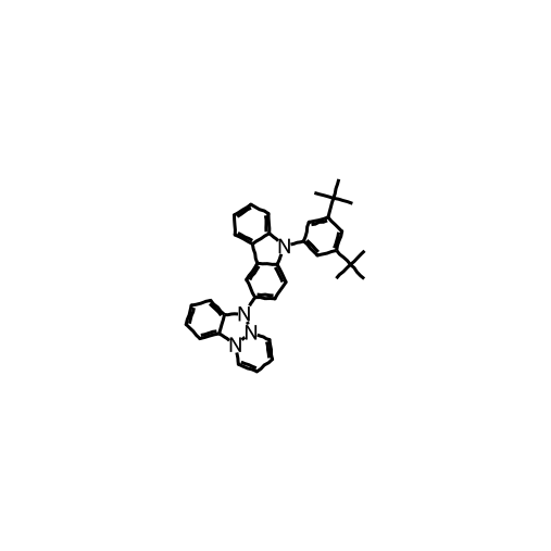 CC(C)(C)c1cc(-n2c3ccccc3c3cc(N4c5ccccc5N5C=CC=CN54)ccc32)cc(C(C)(C)C)c1